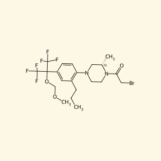 CCCc1cc(C(OCOC)(C(F)(F)F)C(F)(F)F)ccc1N1CCN(C(=O)CBr)[C@@H](C)C1